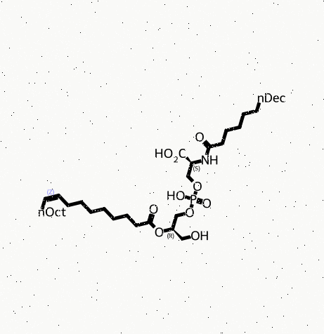 CCCCCCCC/C=C\CCCCCCCC(=O)O[C@H](CO)COP(=O)(O)OC[C@H](NC(=O)CCCCCCCCCCCCCCC)C(=O)O